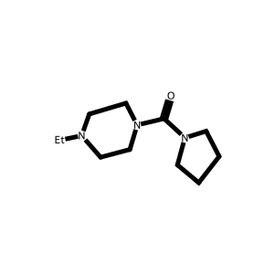 CCN1CCN(C(=O)N2CCCC2)CC1